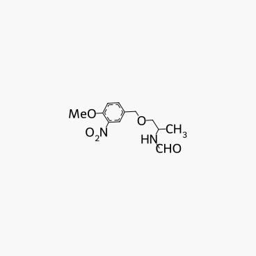 COc1ccc(COCC(C)NC=O)cc1[N+](=O)[O-]